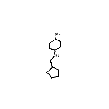 NC1CCC(NCC2CCCO2)CC1